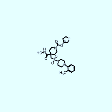 Cc1ccccc1N1CCN(S(=O)(=O)CC2(C(=O)NO)CCN(C(=O)O[C@H]3CCOC3)CC2)CC1